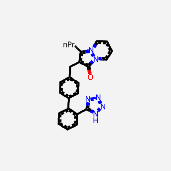 CCCc1c(Cc2ccc(-c3ccccc3-c3nnn[nH]3)cc2)c(=O)n2ccccn12